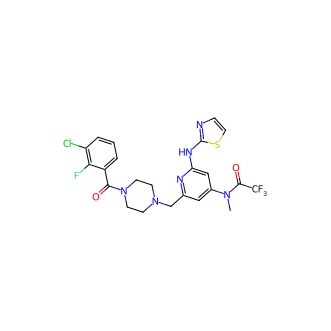 CN(C(=O)C(F)(F)F)c1cc(CN2CCN(C(=O)c3cccc(Cl)c3F)CC2)nc(Nc2nccs2)c1